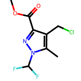 COC(=O)c1nn(C(F)F)c(C)c1CCl